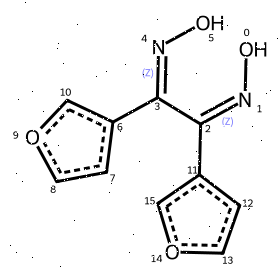 O/N=C(\C(=N/O)c1ccoc1)c1ccoc1